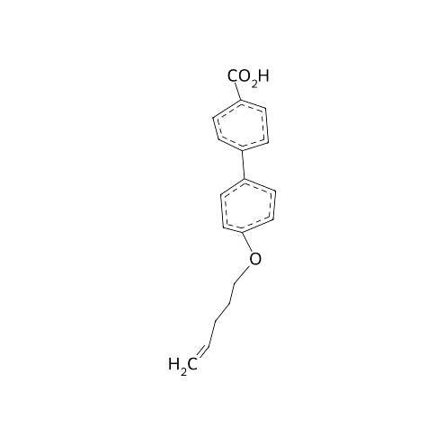 C=CCCCOc1ccc(-c2ccc(C(=O)O)cc2)cc1